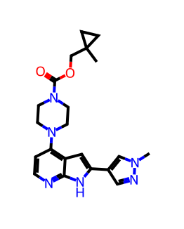 Cn1cc(-c2cc3c(N4CCN(C(=O)OCC5(C)CC5)CC4)ccnc3[nH]2)cn1